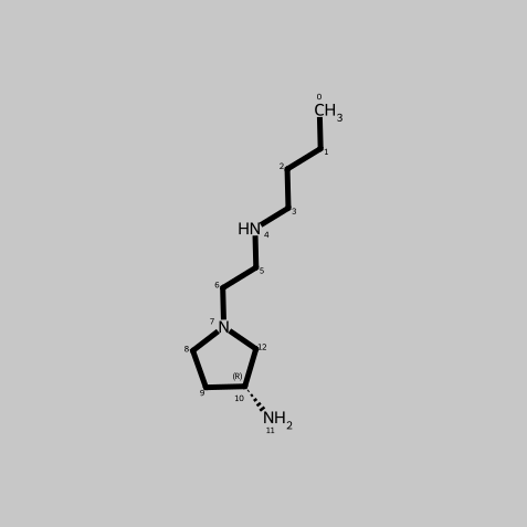 CCCCNCCN1CC[C@@H](N)C1